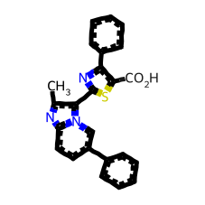 Cc1nc2ccc(-c3ccccc3)cn2c1-c1nc(-c2ccccc2)c(C(=O)O)s1